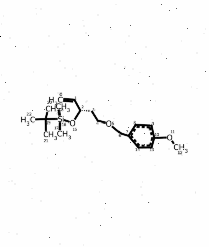 C=C[C@H](CCOCc1ccc(OC)cc1)O[Si](C)(C)C(C)(C)C